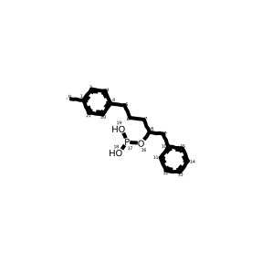 [CH2]c1ccc(CCCC(Cc2ccccc2)OP(O)O)cc1